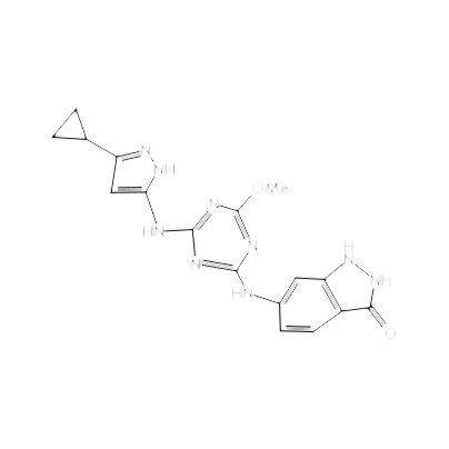 COc1nc(Nc2ccc3c(=O)[nH][nH]c3c2)nc(Nc2cc(C3CC3)n[nH]2)n1